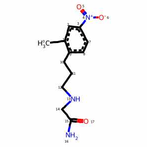 Cc1cc([N+](=O)[O-])ccc1CCCNCC(N)=O